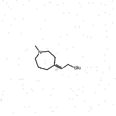 CN1CCC/C(=C/CC(C)(C)C)CC1